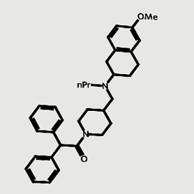 CCCN(CC1CCN(C(=O)C(c2ccccc2)c2ccccc2)CC1)C1CCc2cc(OC)ccc2C1